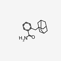 NC(=O)c1ccccc1CC12CC3CC(CC(C3)C1)C2